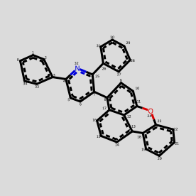 c1ccc(-c2ccc(-c3ccc4c5c(cccc35)-c3ccccc3O4)c(-c3ccccc3)n2)cc1